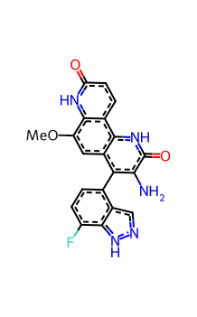 COc1cc2c(-c3ccc(F)c4[nH]ncc34)c(N)c(=O)[nH]c2c2ccc(=O)[nH]c12